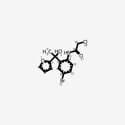 CC(O)(c1ccco1)c1cc(Br)ccc1NC(=O)CCl